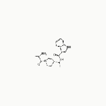 CC(N)C(=O)N1CCC(C(C)NC(=O)c2c[nH]c3ccccc23)CC1